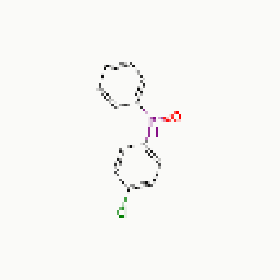 O=[PH](c1ccccc1)c1ccc(Cl)cc1